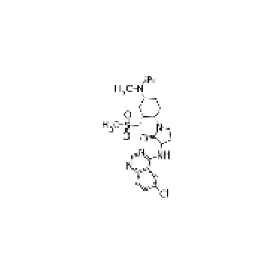 CC(C)N(C)[C@@H]1CC[C@H](N2CCC(Nc3ncnc4ccc(Cl)cc34)C2=O)[C@H](CS(C)(=O)=O)C1